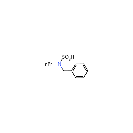 [CH2]CCN(Cc1ccccc1)S(=O)(=O)O